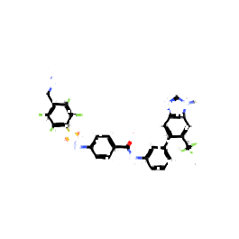 CNCc1c(F)c(F)c(S(=O)(=O)Nc2ccc(C(=O)Nc3cccc(-c4cc5ncn(C)c5cc4C(F)(F)F)c3)cc2)c(F)c1F